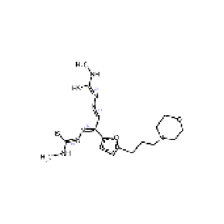 CN/C(S)=N/N=C(/C=N/N=C(\S)NC)c1ccc(CCCN2CCOCC2)o1